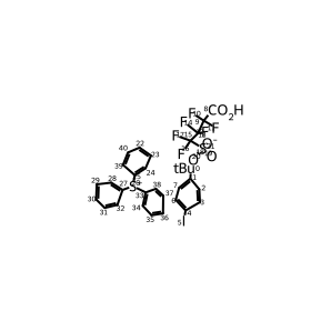 CC(C)(C)c1ccc(I)cc1.O=C(O)C(F)(F)C(F)(F)C(F)(F)S(=O)(=O)[O-].c1ccc([S+](c2ccccc2)c2ccccc2)cc1